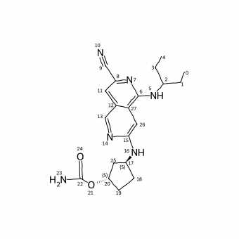 CCC(CC)Nc1nc(C#N)cc2cnc(N[C@H]3CC[C@H](OC(N)=O)C3)cc12